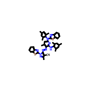 Cc1cc(C)c(Nc2nc(N(c3nc4ccccc4s3)c3c(C)cc(C)cc3C)cc(C)c2N=Nc2c(C#N)c(C)nn2-c2nc3ccccc3s2)c(C)c1